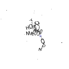 CO[C@H]1[C@H](C(C)(O)CCC=C(C)C)C2(CC[C@H]1OC(=O)/C=C/c1ccc(OCCN(C)C)cc1)CO2